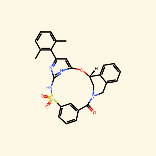 Cc1cccc(C)c1-c1cc2nc(n1)NS(=O)(=O)c1cccc(c1)C(=O)N1Cc3ccccc3[C@H](C1)O2